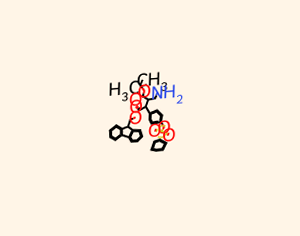 CC(C)OC(=O)C(CN)C(C(=O)OCC1c2ccccc2-c2ccccc21)c1ccc(OS(=O)(=O)c2ccccc2)cc1